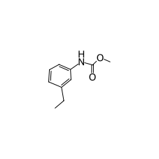 CCc1cccc(NC(=O)OC)c1